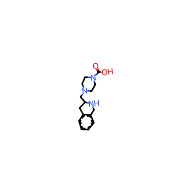 O=C(O)N1CCN(CC2Cc3ccccc3CN2)CC1